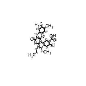 CCCN(CCC)c1nc(=O)n(Cc2ccc(C)c(C)c2)c(=O)n1-c1ccc(Cl)c(C(=O)O)c1